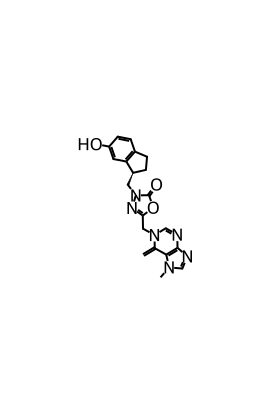 C=C1c2c(ncn2C)N=CN1Cc1nn(C[C@@H]2CCc3ccc(O)cc32)c(=O)o1